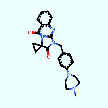 CN1CCN(c2ccc(CN3C(=O)C4(CC4)n4c3nc3ccccc3c4=O)cc2)CC1